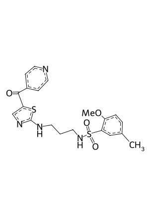 COc1ccc(C)cc1S(=O)(=O)NCCCNc1ncc(C(=O)c2ccncc2)s1